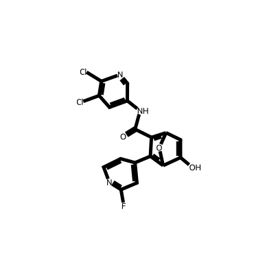 O=C(Nc1cnc(Cl)c(Cl)c1)c1c(-c2ccnc(F)c2)c2oc1cc2O